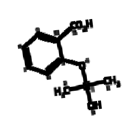 C[Si](C)(O)Oc1ccccc1C(=O)O